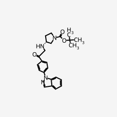 CC(C)(C)OC(=O)N1CC[C@@H](NCC(=O)c2ccc(-n3ncc4ccccc43)cc2)C1